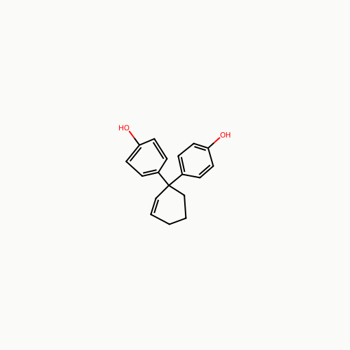 Oc1ccc(C2(c3ccc(O)cc3)C=CCCC2)cc1